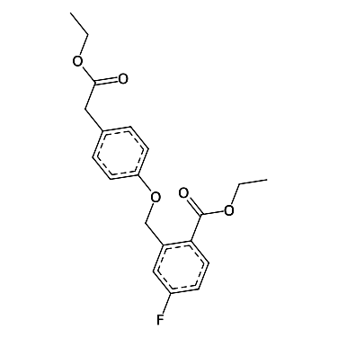 CCOC(=O)Cc1ccc(OCc2cc(F)ccc2C(=O)OCC)cc1